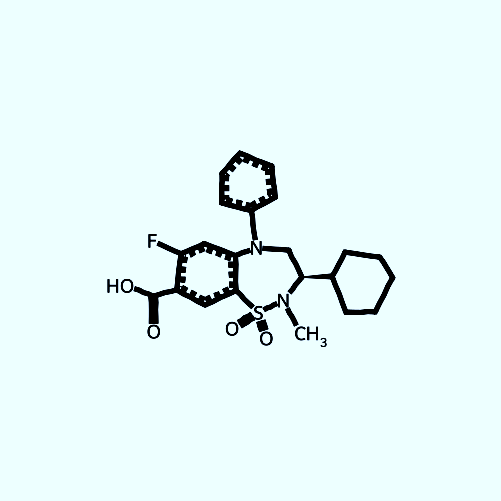 CN1[C@H](C2CCCCC2)CN(c2ccccc2)c2cc(F)c(C(=O)O)cc2S1(=O)=O